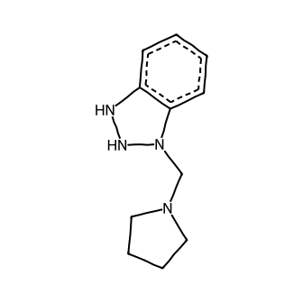 c1ccc2c(c1)NNN2CN1CCCC1